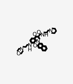 O=C(NCCCN1CCCCC1)c1cn2c3c(c(NCCCN4CCOCC4)ccc3c1=O)Oc1cc3ccccc3cc1-2